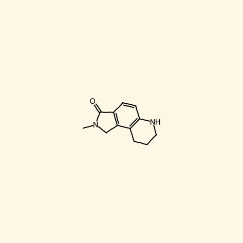 CN1Cc2c(ccc3c2CCCN3)C1=O